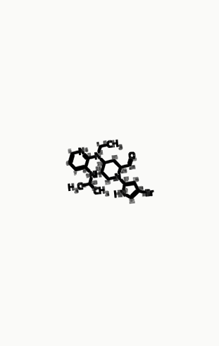 CCN(c1ncccc1NC(C)C)C1CCN(c2cc(Br)c[nH]2)C(C=O)C1